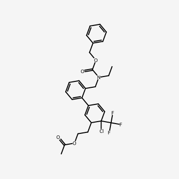 CCN(Cc1ccccc1C1=CC(CCOC(C)=O)C(Cl)(C(F)(F)F)C=C1)C(=O)OCc1ccccc1